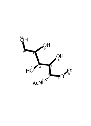 CCO[C@H](NC(C)=O)C(O)[C@@H](O)C(O)CO